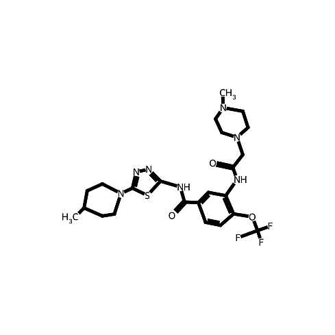 CC1CCN(c2nnc(NC(=O)c3ccc(OC(F)(F)F)c(NC(=O)CN4CCN(C)CC4)c3)s2)CC1